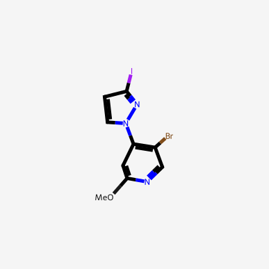 COc1cc(-n2ccc(I)n2)c(Br)cn1